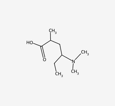 CCC(CC(C)C(=O)O)N(C)C